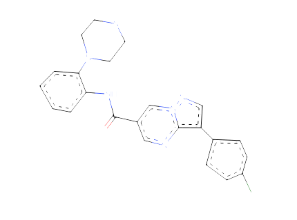 O=C(Nc1ccccc1N1CCNCC1)c1cnc2c(-c3ccc(Cl)cc3)cnn2c1